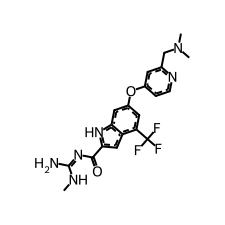 CNC(N)=NC(=O)c1cc2c(C(F)(F)F)cc(Oc3ccnc(CN(C)C)c3)cc2[nH]1